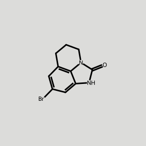 O=c1[nH]c2cc(Br)cc3c2n1CCC3